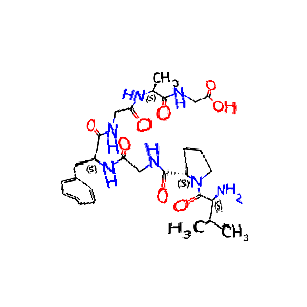 CC(C)[C@H](N)C(=O)N1CCC[C@H]1C(=O)NCC(=O)N[C@@H](Cc1ccccc1)C(=O)NCC(=O)N[C@@H](C)C(=O)NCC(=O)O